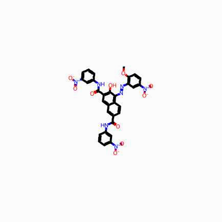 COc1ccc([N+](=O)[O-])cc1/N=N/c1c(O)c(C(=O)Nc2cccc([N+](=O)[O-])c2)cc2cc(C(=O)Nc3cccc([N+](=O)[O-])c3)ccc12